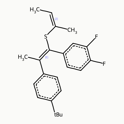 C/C=C(/C)S/C(=C(\C)c1ccc(C(C)(C)C)cc1)c1ccc(F)c(F)c1